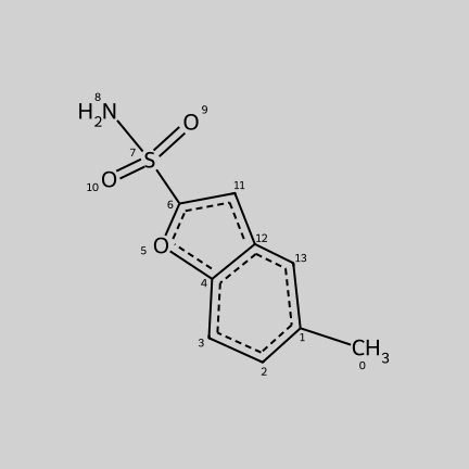 Cc1ccc2oc(S(N)(=O)=O)cc2c1